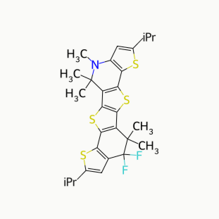 CC(C)c1cc2c(s1)-c1sc3c4c(sc3c1C(C)(C)N2C)-c1sc(C(C)C)cc1C(F)(F)C4(C)C